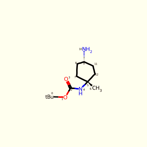 CC(C)(C)OC(=O)N[C@]1(C)CC[C@H](N)CC1